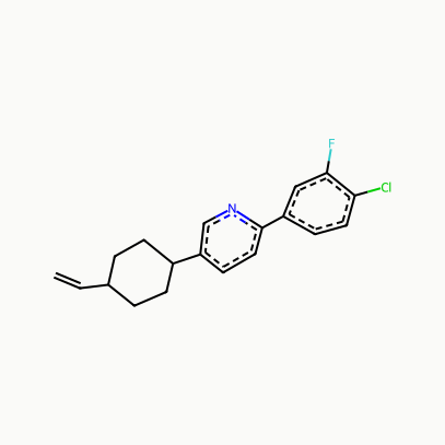 C=CC1CCC(c2ccc(-c3ccc(Cl)c(F)c3)nc2)CC1